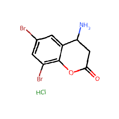 Cl.NC1CC(=O)Oc2c(Br)cc(Br)cc21